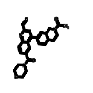 CC(=O)N1CCC2C=CC(c3cc(C=O)nc4ccc(C(=O)N5CCOCC5)cc34)=CC2C1